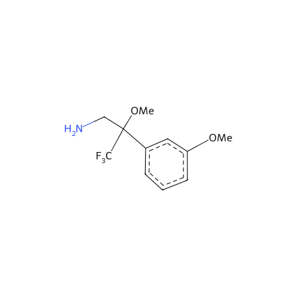 COc1cccc(C(CN)(OC)C(F)(F)F)c1